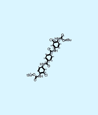 CC(C)(C)OC(=O)Nc1ccc(NC(=O)c2ccc(C(=O)Nc3ccc(NC(=O)OC(C)(C)C)c(Cl)c3)cc2)cc1Cl